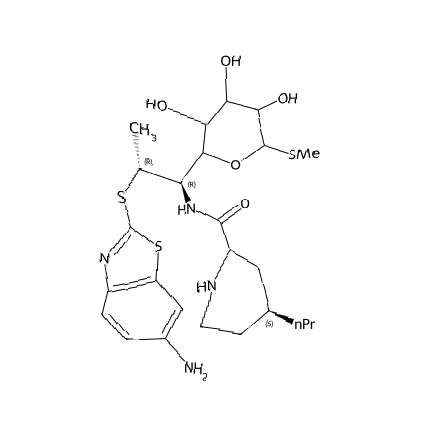 CCC[C@H]1CCNC(C(=O)N[C@H](C2OC(SC)C(O)C(O)C2O)[C@@H](C)Sc2nc3ccc(N)cc3s2)C1